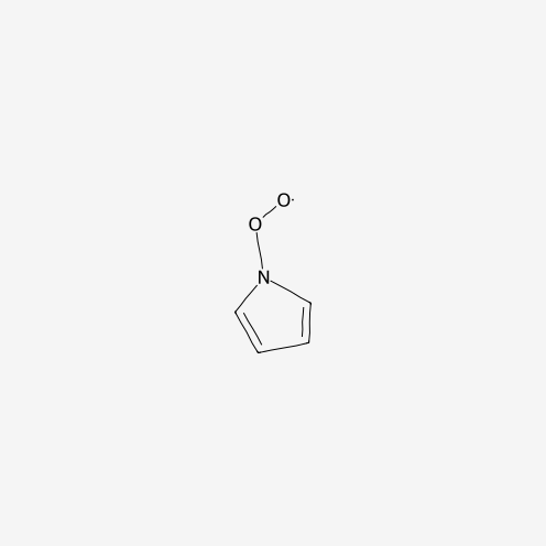 [O]On1cccc1